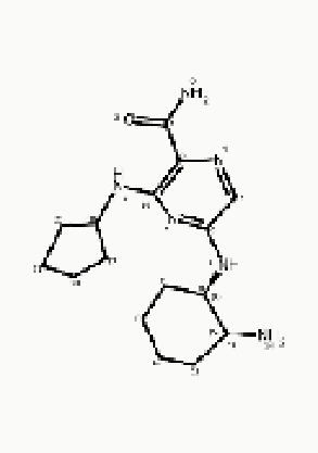 NC(=O)c1ncc(N[C@@H]2CCCC[C@@H]2N)nc1NC1CCCC1